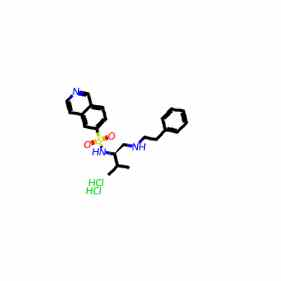 CC(C)[C@H](CNCCc1ccccc1)NS(=O)(=O)c1ccc2cnccc2c1.Cl.Cl